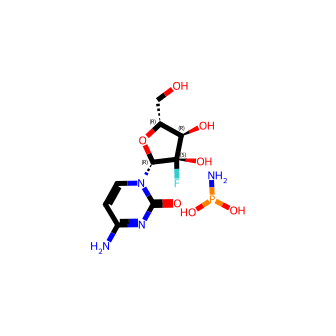 NP(O)O.Nc1ccn([C@@H]2O[C@H](CO)[C@@H](O)[C@]2(O)F)c(=O)n1